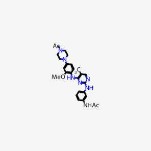 COc1cc(N2CCN(C(C)=O)CC2)ccc1Nc1nc(Nc2cccc(NC(C)=O)c2)ncc1C(F)(F)F